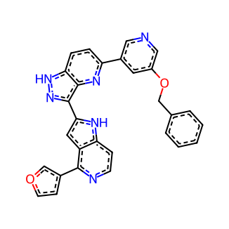 c1ccc(COc2cncc(-c3ccc4[nH]nc(-c5cc6c(-c7ccoc7)nccc6[nH]5)c4n3)c2)cc1